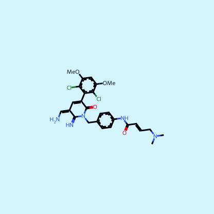 COc1cc(OC)c(Cl)c(C2=C/C(=C/N)C(=N)N(Cc3ccc(NC(=O)/C=C/CN(C)C)cc3)C2=O)c1Cl